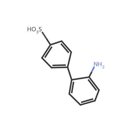 Nc1ccccc1-c1ccc(S(=O)(=O)O)cc1